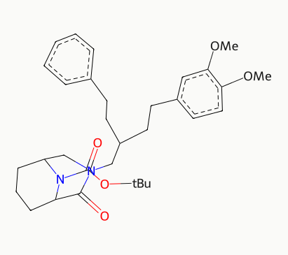 COc1ccc(CCC(CCc2ccccc2)CN2CC3CCCC(C2=O)N3C(=O)OC(C)(C)C)cc1OC